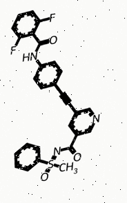 CS(=O)(=NC(=O)c1cncc(C#Cc2ccc(NC(=O)c3c(F)cccc3F)cc2)c1)c1ccccc1